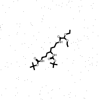 CCOC(OCC)C(=O)NCCCC(CCCNC(=O)OC(C)(C)C)NC(=O)OC(C)(C)C